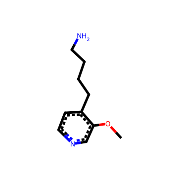 COc1cnccc1CCCCN